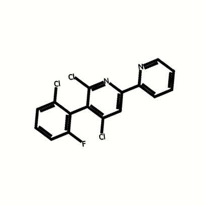 Fc1cccc(Cl)c1-c1c(Cl)cc(-c2ccccn2)nc1Cl